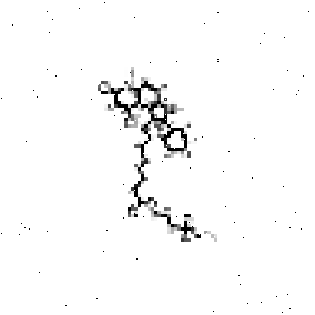 O=C(CCCCCCCc1c(-c2ccccc2)[nH]c2ccc3[nH]c(=O)cc(C(F)(F)F)c3c12)OCCCC(F)(F)C(F)(F)F